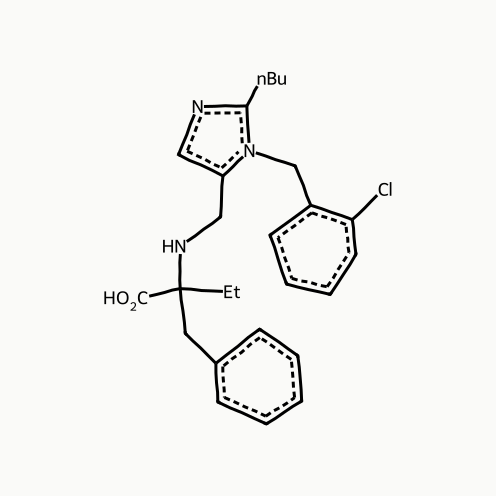 CCCCc1ncc(CNC(CC)(Cc2ccccc2)C(=O)O)n1Cc1ccccc1Cl